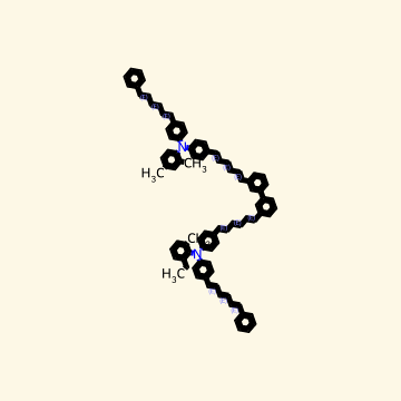 CCc1cccc(C)c1N(c1ccc(/C=C/C=C/C=C/c2ccccc2)cc1)c1ccc(/C=C/C=C/C=C/c2cccc(-c3cccc(/C=C/C=C/C=C/c4ccc(N(c5ccc(/C=C/C=C/C=C/c6ccccc6)cc5)c5ccc(C)cc5C)cc4)c3)c2)cc1